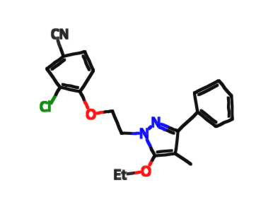 CCOc1c(C)c(-c2ccccc2)nn1CCOc1ccc(C#N)cc1Cl